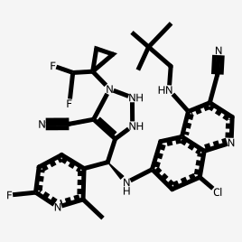 Cc1nc(F)ccc1[C@H](Nc1cc(Cl)c2ncc(C#N)c(NCC(C)(C)C)c2c1)C1=C(C#N)N(C2(C(F)F)CC2)NN1